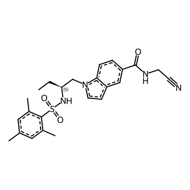 CC[C@@H](Cn1ccc2cc(C(=O)NCC#N)ccc21)NS(=O)(=O)c1c(C)cc(C)cc1C